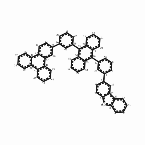 c1cc(-c2ccc3oc4ccccc4c3c2)cc(-c2c3ccccc3c(-c3cccc(-c4ccc5c6ccccc6c6ccccc6c5c4)c3)c3ccccc23)c1